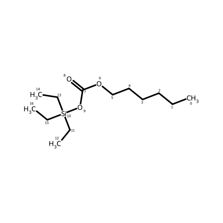 CCCCCCOC(=O)O[Si](CC)(CC)CC